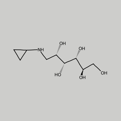 OC[C@@H](O)[C@@H](O)[C@H](O)[C@@H](O)CNC1CC1